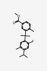 COC(=O)c1ccc(C)c(C(C)(C)c2cc(C)c(C(C)C)cc2F)c1